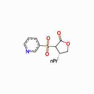 CCC[C@H]1COC(=O)C1S(=O)(=O)c1cccnc1